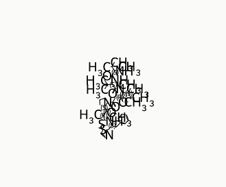 CC[C@H](C)[C@@H]([C@@H](CC(=O)N1CCC[C@H]1[C@H](OC)[C@@H](C)C(=S)N[C@@H](Cc1ccccc1)c1nccs1)OC)N(C)C(=O)[C@@H](NC(=O)[C@@H](NC)C(C)C)C(C)C